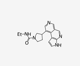 CCNC(=O)N1CCC(c2cncc3cnc4[nH]ccc4c23)C1